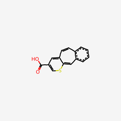 O=C(O)C1=CSC2=Cc3ccccc3C=CC2=C1